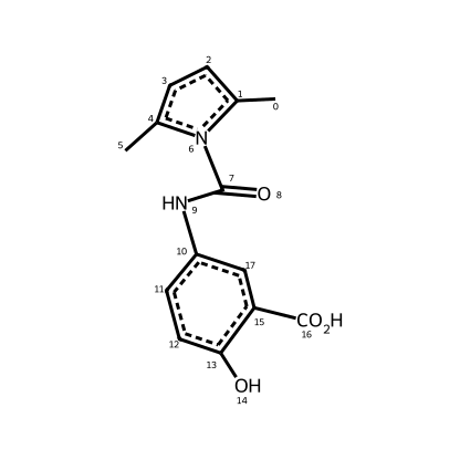 Cc1ccc(C)n1C(=O)Nc1ccc(O)c(C(=O)O)c1